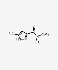 CON(C)C(=O)c1cc(C(F)(F)F)[nH]n1